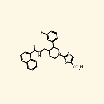 C[C@@H](NCC1CCN(c2ncc(C(=O)O)s2)CC1c1cccc(F)c1)c1cccc2ccccc12